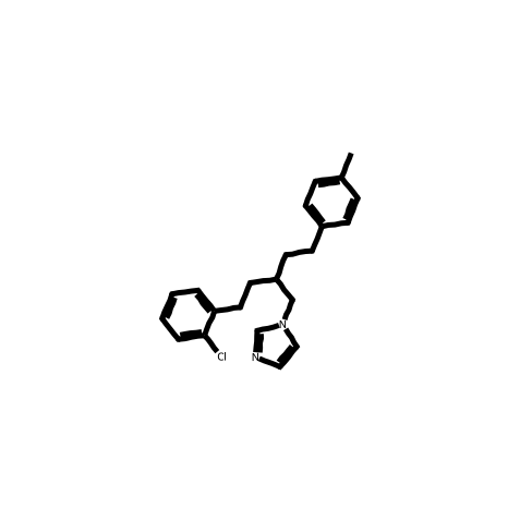 Cc1ccc(CCC(CCc2ccccc2Cl)Cn2ccnc2)cc1